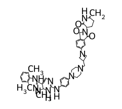 C=C1CCC(N2C(=O)c3ccc(N4CC(CN5CCN(c6ccc(NC7=NC=C8C(Nc9c(C)cccc9C)=NN(C)C8N7)cc6)CC5)C4)cc3C2=O)C(=O)N1